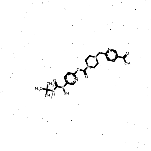 CC(C)(C)NC(=O)N(S)c1ccc(OC(=O)N2CCN(Cc3ccc(C(=O)O)cn3)CC2)nc1